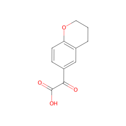 O=C(O)C(=O)c1ccc2c(c1)CCCO2